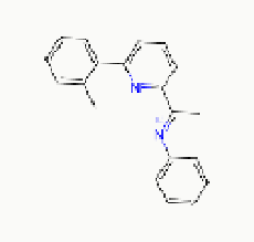 C/C(=N\c1ccccc1)c1cccc(-c2ccccc2C)n1